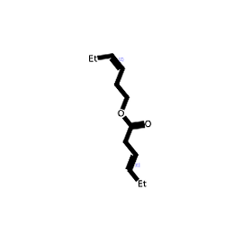 CC/C=C\CCOC(=O)C/C=C/CC